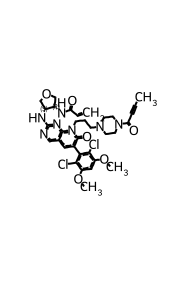 C=CC(=O)N[C@H]1COC[C@H]1Nc1ncc2cc(-c3c(Cl)c(OC)cc(OC)c3Cl)c(=O)n(CCCN3CCN(C(=O)C#CC)CC3)c2n1